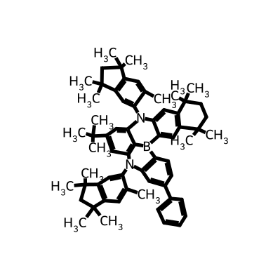 Cc1cc2c(cc1N1c3cc(-c4ccccc4)ccc3B3c4cc5c(cc4N(c4cc6c(cc4C)C(C)(C)CC6(C)C)c4cc(C(C)(C)C)cc1c43)C(C)(C)CCC5(C)C)C(C)(C)CC2(C)C